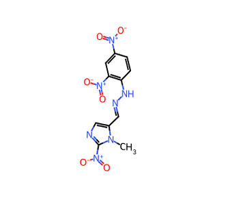 Cn1c(C=NNc2ccc([N+](=O)[O-])cc2[N+](=O)[O-])cnc1[N+](=O)[O-]